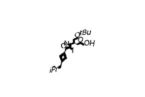 CC(C)C[C@H]1C[C@@H](c2onc([C@@H](CCCO)CC(=O)OC(C)(C)C)c2I)C1